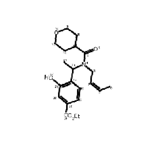 C/C=C\CN(C(=O)C1CCOCC1)C(C)c1ccc(C(=O)OCC)cc1O